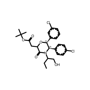 CCC(CO)N1C(=O)C(CC(=O)OC(C)(C)C)O[C@@H](c2cccc(Cl)c2)[C@H]1c1ccc(Cl)cc1